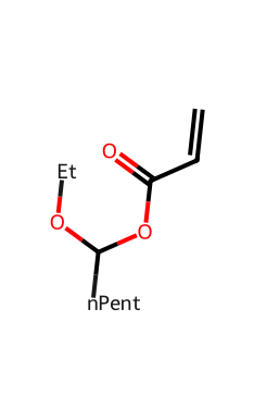 C=CC(=O)OC(CCCCC)OCC